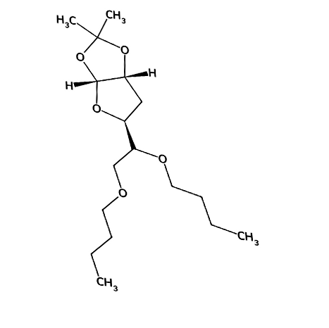 CCCCOCC(OCCCC)[C@@H]1C[C@H]2OC(C)(C)O[C@H]2O1